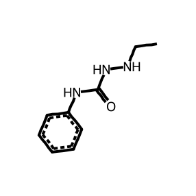 CCNNC(=O)Nc1ccccc1